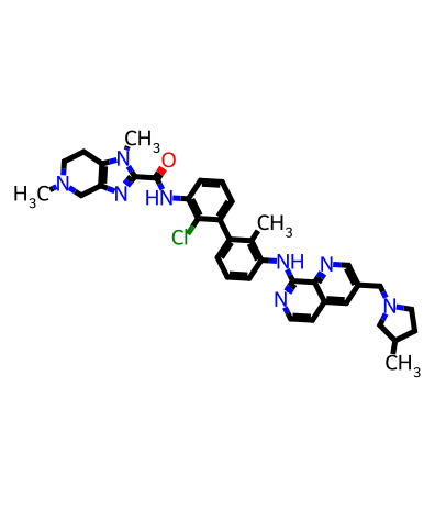 Cc1c(Nc2nccc3cc(CN4CCC(C)C4)cnc23)cccc1-c1cccc(NC(=O)c2nc3c(n2C)CCN(C)C3)c1Cl